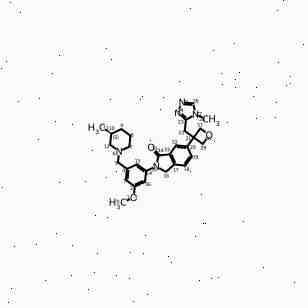 COc1cc(CN2CCC[C@H](C)C2)cc(N2Cc3ccc(C4(Cc5nncn5C)COC4)cc3C2=O)c1